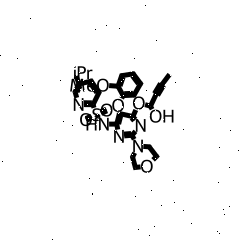 CC#CC(O)Oc1nc(N2CCOCC2)nc(NS(=O)(=O)c2ccc(C(C)C)cn2)c1Oc1ccccc1OC